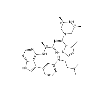 Cc1ccn2nc([C@H](C)Nc3ncnc4[nH]cc(-c5ccnc(NCCN(C)C)c5)c34)nc(N3C[C@@H](C)N[C@@H](C)C3)c12